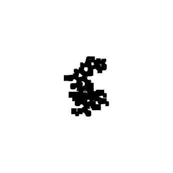 CN(Cc1cc(O)c2c(c1Cl)C[C@H]1C[C@H]3[C@H](N(C)C)C(O)=C(C(N)=O)C(=O)[C@@]3(O)C(O)=C1C2=O)CC1CCOC1